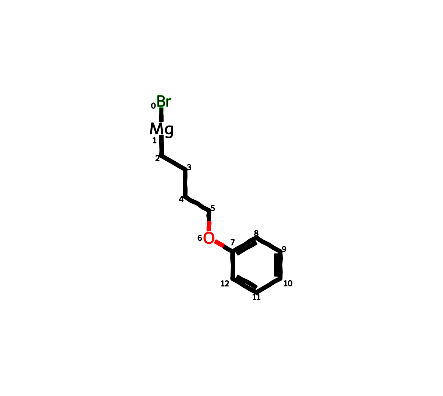 [Br][Mg][CH2]CCCOc1ccccc1